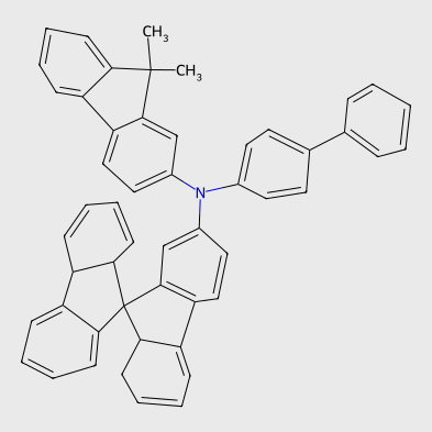 CC1(C)c2ccccc2-c2ccc(N(c3ccc(-c4ccccc4)cc3)c3ccc4c(c3)C3(c5ccccc5C5C=CC=CC53)C3CC=CC=C43)cc21